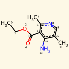 CCOC(=O)c1c(C)ncc(C)c1N